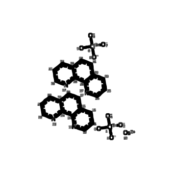 [O-][Cl+3]([O-])([O-])[O-].[O-][Cl+3]([O-])([O-])[O-].[Os+2].c1cnc2c(c1)ccc1cccnc12.c1cnc2c(c1)ccc1cccnc12